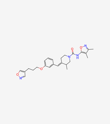 Cc1noc(NC(=O)N2CCC(=Cc3cccc(OCCCc4cnoc4)c3)C(C)C2)c1C